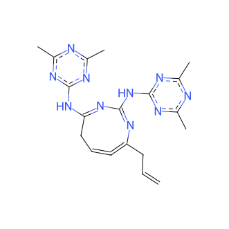 C=CCC1=C=CC/C(Nc2nc(C)nc(C)n2)=N\C(Nc2nc(C)nc(C)n2)=N/1